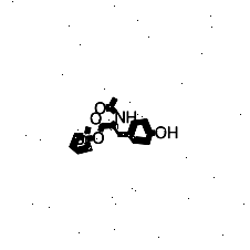 CC(=O)N[C@@H](Cc1ccc(O)cc1)C(=O)O[Si]1(C)C=CC=C1